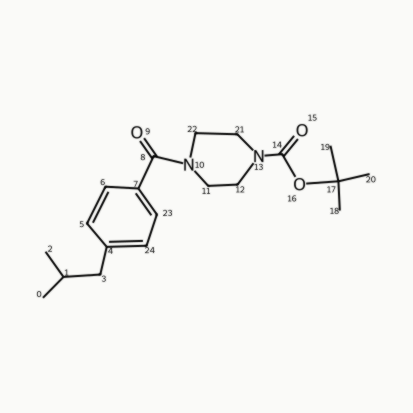 CC(C)Cc1ccc(C(=O)N2CCN(C(=O)OC(C)(C)C)CC2)cc1